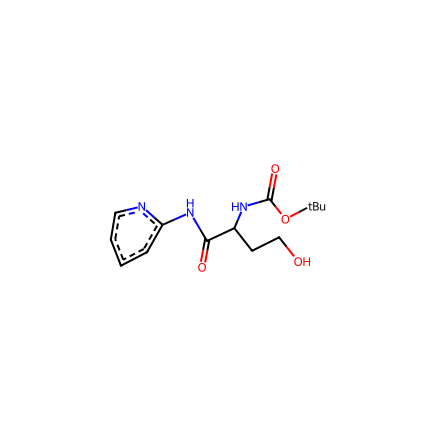 CC(C)(C)OC(=O)NC(CCO)C(=O)Nc1ccccn1